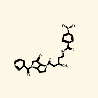 CCN(CC)c1ccc(C(=O)NCCC(C)CC(=O)N2CCC3C2C(=O)CN3C(=O)c2cccnc2)cc1